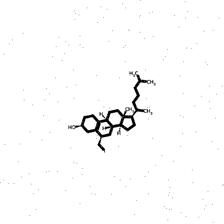 CC(C)CCCC(C)[C@H]1CC[C@H]2[C@@H]3C[C@@H](CI)C4=C(CC[C@H](O)C4)[C@H]3CC[C@]12C